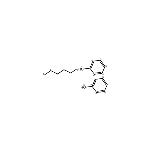 CCCCCC.Oc1ccccc1.Oc1ccccc1